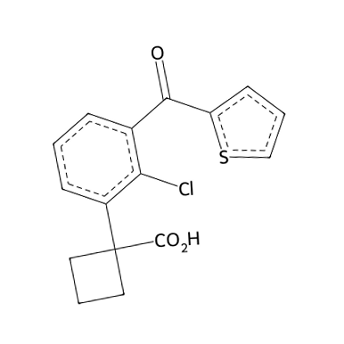 O=C(c1cccs1)c1cccc(C2(C(=O)O)CCC2)c1Cl